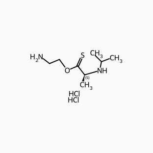 CC(C)N[C@@H](C)C(=S)OCCN.Cl.Cl